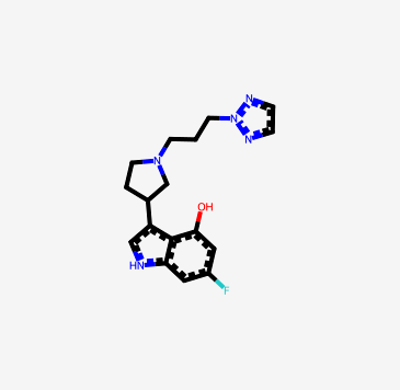 Oc1cc(F)cc2[nH]cc(C3CCN(CCCn4nccn4)C3)c12